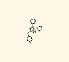 Cc1ccc(CC2=N[C@@H](c3ccccc3)[C@@H](c3ccccc3)N2)cc1